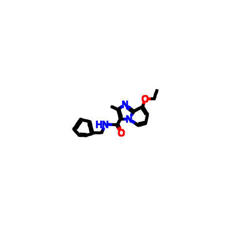 CCOc1cccn2c(C(=O)NCc3ccccc3)c(C)nc12